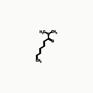 C=CC=CC=CC(=O)N(C)C